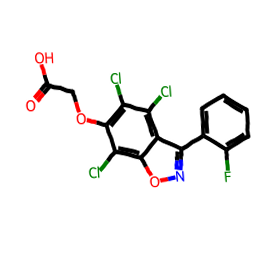 O=C(O)COc1c(Cl)c(Cl)c2c(-c3ccccc3F)noc2c1Cl